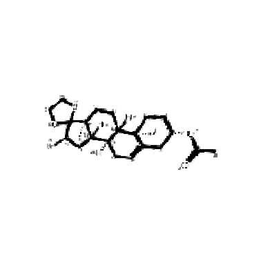 CC(=O)O[C@H]1CC[C@@]2(C)C(=CC[C@@H]3[C@@H]2CC[C@@]2(C)[C@H]3C[C@@H](Br)C23OCCO3)C1